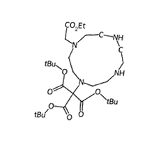 CCOC(=O)CN1CCNCCNCCN(C(C(=O)OC(C)(C)C)(C(=O)OC(C)(C)C)C(=O)OC(C)(C)C)CC1